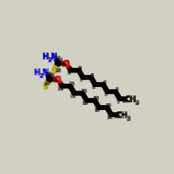 CCCCCCCCCCOC(N)=S.CCCCCCCCCCOC(N)=S